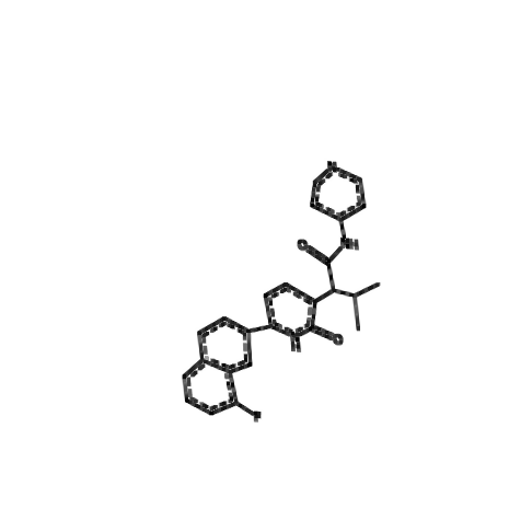 CC(C)C(C(=O)Nc1ccncc1)c1ccc(-c2ccc3cccc(F)c3c2)[nH]c1=O